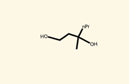 [CH2]CCC(C)(O)CCO